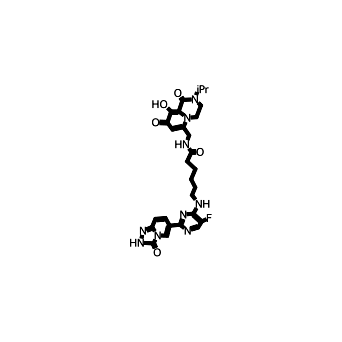 CC(C)N1CCn2c(CNC(=O)CCCCCNc3nc(-c4ccc5n[nH]c(=O)n5c4)ncc3F)cc(=O)c(O)c2C1=O